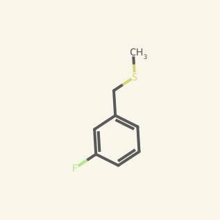 CSCc1cccc(F)c1